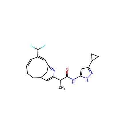 CC(C(=O)Nc1cc(C2CC2)n[nH]1)C1=CC2CC/C=C\C(C(F)F)=C/C(=N1)C2